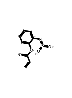 C=CC(=O)Oc1ccccc1N=S(=O)=O